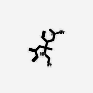 C=CC(=C)CC(C)(NCC(C)C)C(C=C)C[C@@H](C)C(C)C